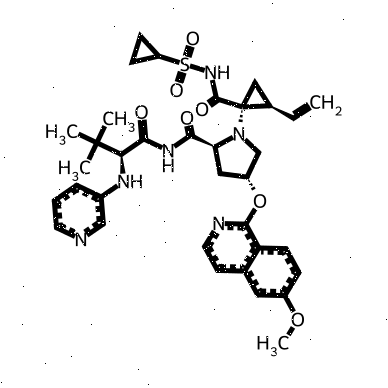 C=C[C@@H]1C[C@@]1(C(=O)NS(=O)(=O)C1CC1)N1C[C@H](Oc2nccc3cc(OC)ccc23)C[C@H]1C(=O)NC(=O)[C@@H](Nc1cccnc1)C(C)(C)C